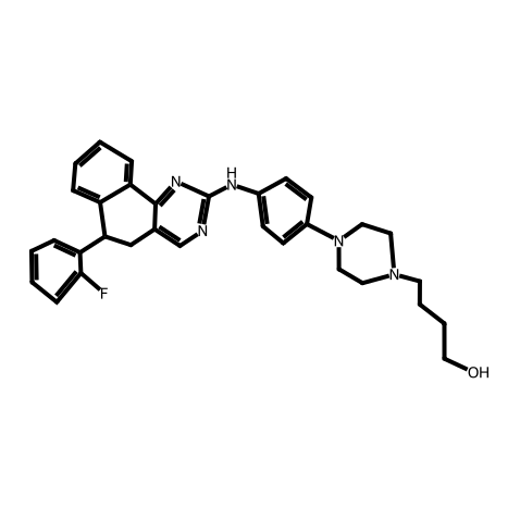 OCCCCN1CCN(c2ccc(Nc3ncc4c(n3)-c3ccccc3C(c3ccccc3F)C4)cc2)CC1